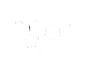 NC(=O)[C@@H]1CCC(=O)N1c1ccc(O)cc1